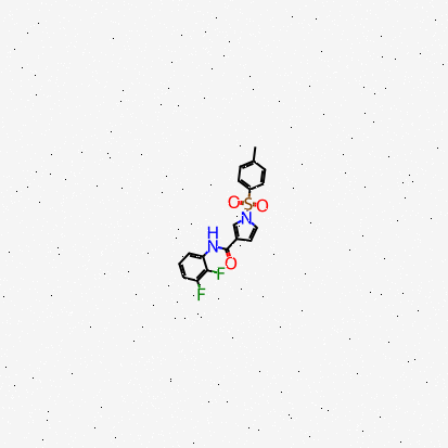 Cc1ccc(S(=O)(=O)n2ccc(C(=O)Nc3cccc(F)c3F)c2)cc1